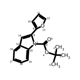 CC(C)(C)OC(=O)n1c(-c2ccco2)cc2ccccc21